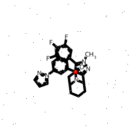 Cn1nc2c(c1-c1cc(F)c(F)c(F)c1)CC1CCCC2N1C(=O)c1cc(F)cc(-n2cccn2)c1